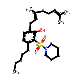 CCCCCc1ccc(C/C=C(\C)CCC=C(C)C)c(O)c1S(=O)(=O)N1CCCCC1